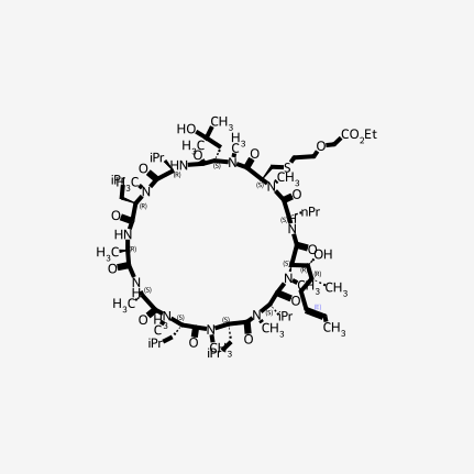 C/C=C/C[C@@H](C)[C@@H](O)[C@H]1C(=O)N[C@@H](CCC)C(=O)N(C)[C@H](CSCCOCC(=O)OCC)C(=O)N(C)[C@@H](CC(C)(C)O)C(=O)N[C@H](C(C)C)C(=O)N(C)[C@H](CC(C)C)C(=O)N[C@H](C)C(=O)N[C@@H](C)C(=O)N(C)[C@@H](CC(C)C)C(=O)N(C)[C@@H](CC(C)C)C(=O)N(C)[C@@H](C(C)C)C(=O)N1C